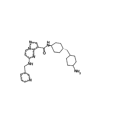 NC1CCC(C[C@H]2CC[C@H](NC(=O)c3cnn4ccc(NCc5cccnc5)nc34)CC2)CC1